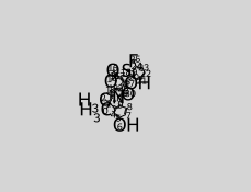 CC1(C)c2cc(O)ccc2-n2c1cc1oc(=O)c(Sc3ccccc3F)c(O)c1c2=O